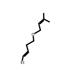 CCC=CCCOCC=C(C)C